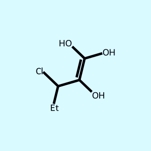 CCC(Cl)C(O)=C(O)O